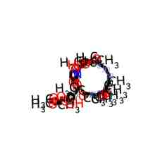 CO[C@H]1C[C@@H]2CC[C@@H](C)[C@@](O)(O2)C(=O)C(=O)N2CCCC[C@H]2C(=O)O[C@H]([C@H](C)C[C@@H]2CC[C@@H](OC(=O)C3(C)COC(C)(C)OC3)[C@H](O)C2)CC(=O)[C@H](C)/C=C(\C)[C@@H](C)[C@@H](OC)C(=O)[C@H](C)C[C@H](C)/C=C/C=C/C=C/1C